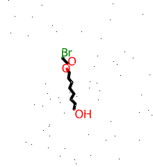 O=C(CBr)OCCCCCCCCO